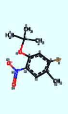 BC(C)(C)Oc1cc(Br)c(C)cc1[N+](=O)[O-]